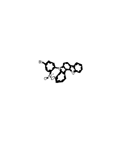 O=[N+]([O-])c1cc(Br)ccc1-n1c2ccccc2c2c3oc4ccccc4c3ccc21